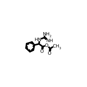 CC(=O)OC(=O)C(NC(=N)N)c1ccccc1